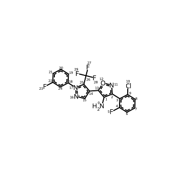 Nc1c(-c2c(F)cccc2Cl)noc1-c1cnn(-c2cccc(F)c2)c1C(F)(F)F